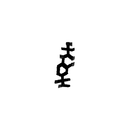 CNS(=O)(=O)c1ccc(NC(=O)C(C)(C)O)c(Cl)c1